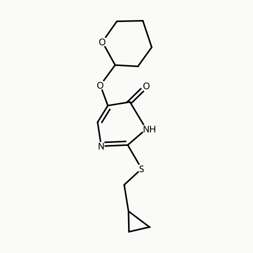 O=c1[nH]c(SCC2CC2)ncc1OC1CCCCO1